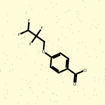 O=C(Cl)c1ccc(OCC(F)(F)C(F)F)cc1